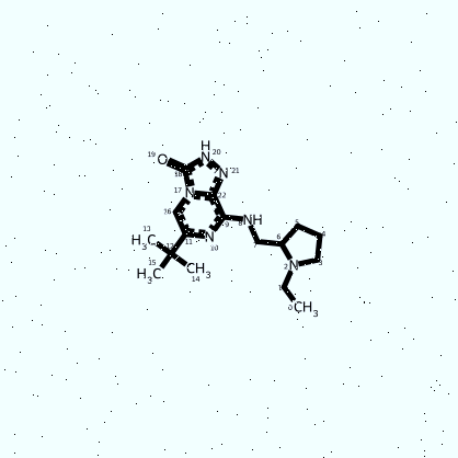 CCN1CCCC1CNc1nc(C(C)(C)C)cn2c(=O)[nH]nc12